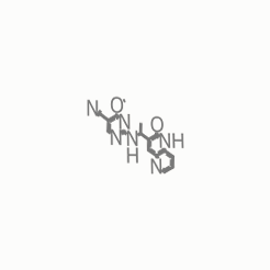 COc1nc(NC(C)c2cc3ncccc3[nH]c2=O)ncc1C#N